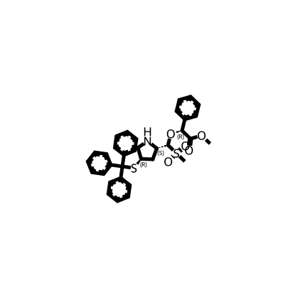 COC(=O)[C@H](OC([C@@H]1C[C@@H](SC(c2ccccc2)(c2ccccc2)c2ccccc2)CN1)S(C)(=O)=O)c1ccccc1